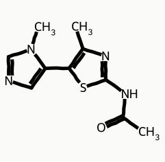 CC(=O)Nc1nc(C)c(-c2cncn2C)s1